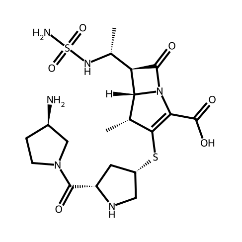 C[C@@H](NS(N)(=O)=O)[C@H]1C(=O)N2C(C(=O)O)=C(S[C@@H]3CN[C@H](C(=O)N4CC[C@@H](N)C4)C3)[C@H](C)[C@H]12